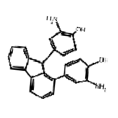 Nc1cc(-c2cccc3c2C(c2ccc(O)c(N)c2)c2ccccc2-3)ccc1O